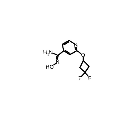 N/C(=N\O)c1ccnc(OC2CC(F)(F)C2)c1